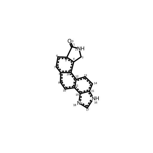 O=C1NCc2c1ccc1ccc3c(ccc4[nH]cnc43)c21